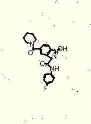 O=C(Nc1ccc(F)cc1)c1nn(O)c2ccc(C(=O)N3CCCCC3)cc12